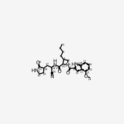 CCCCC1CN(C(=O)c2cc3c(OC)cccc3[nH]2)C1C(=O)NC(C#N)CC1CCNC1=O